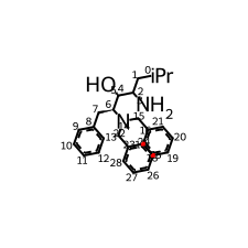 CC(C)CC(N)[C@H](O)[C@H](Cc1ccccc1)N(Cc1ccccc1)Cc1ccccc1